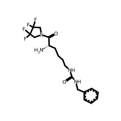 N[C@@H](CCCCNC(=O)NCc1ccccc1)C(=O)N1CC(F)(F)C(F)(F)C1